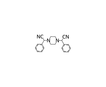 N#CC(c1ccccc1)N1CCN(C(C#N)c2ccccc2)CC1